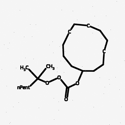 CCCCCC(C)(C)OOC(=O)OC1CCCCCCCCCCC1